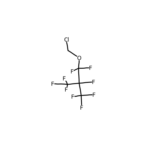 FC(F)(F)C(F)(C(F)(F)F)C(F)(F)OCCl